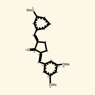 COc1cccc(/C=C2\CC/C(=C\c3cc(OC)cc(OC)c3)C2=O)c1